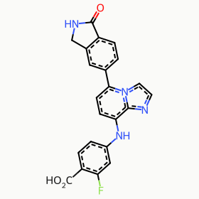 O=C(O)c1ccc(Nc2ccc(-c3ccc4c(c3)CNC4=O)n3ccnc23)cc1F